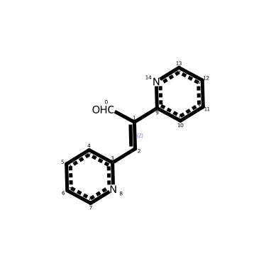 O=C/C(=C\c1ccccn1)c1ccccn1